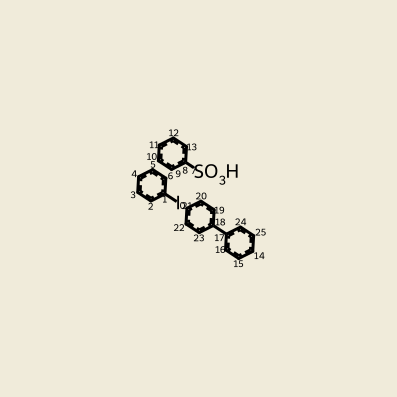 Ic1ccccc1.O=S(=O)(O)c1ccccc1.c1ccc(-c2ccccc2)cc1